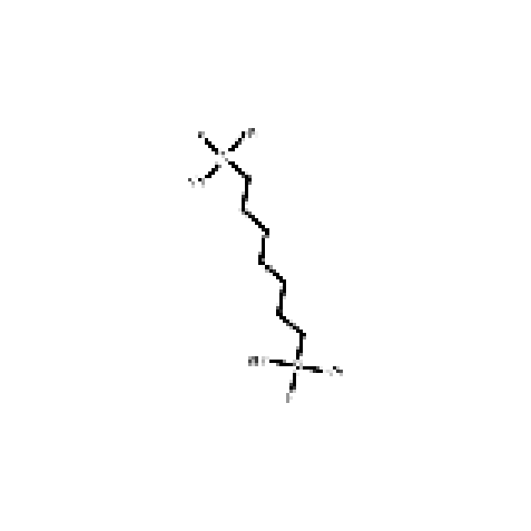 CCC[Si](F)(CCC)CCCCCCC[Si](F)(CCC)CCC